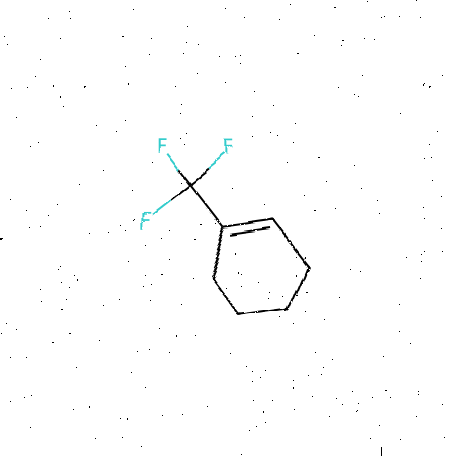 FC(F)(F)C1=CCCCC1